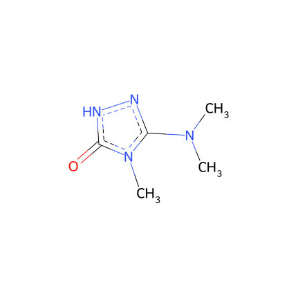 CN(C)c1n[nH]c(=O)n1C